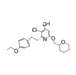 CCOc1ccc(CCc2nc(OCC3CCCCO3)cc(O)c2Cl)cc1